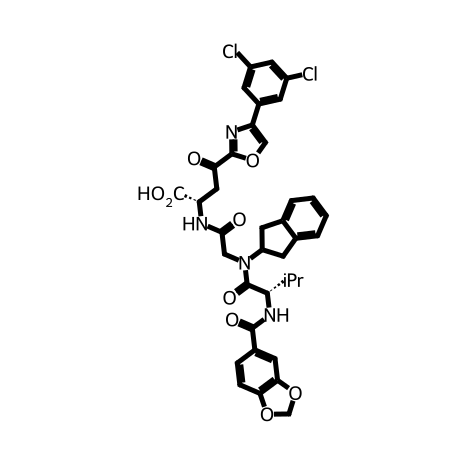 CC(C)[C@H](NC(=O)c1ccc2c(c1)OCO2)C(=O)N(CC(=O)N[C@@H](CC(=O)c1nc(-c2cc(Cl)cc(Cl)c2)co1)C(=O)O)C1Cc2ccccc2C1